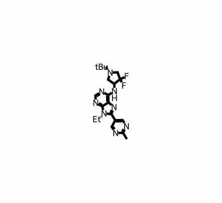 CCn1c(-c2cnc(C)nc2)nc2c(NC3CN(C(C)(C)C)CC3(F)F)ncnc21